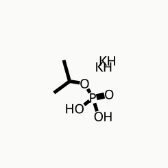 CC(C)OP(=O)(O)O.[KH].[KH]